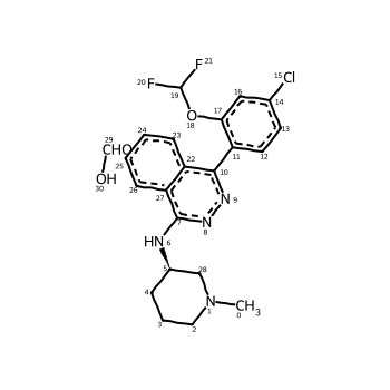 CN1CCC[C@@H](Nc2nnc(-c3ccc(Cl)cc3OC(F)F)c3ccccc23)C1.O=CO